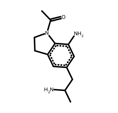 CC(=O)N1CCc2cc(CC(C)N)cc(N)c21